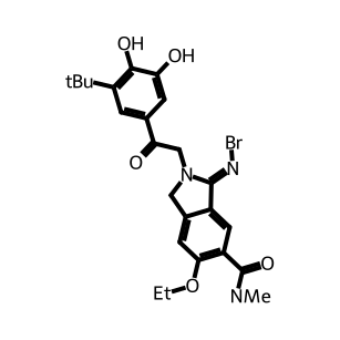 CCOc1cc2c(cc1C(=O)NC)/C(=N/Br)N(CC(=O)c1cc(O)c(O)c(C(C)(C)C)c1)C2